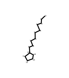 CCCCCCCCCC[C]1CCCC1